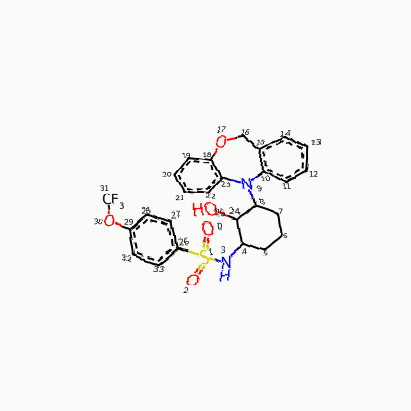 O=S(=O)(NC1CCCC(N2c3ccccc3COc3ccccc32)C1O)c1ccc(OC(F)(F)F)cc1